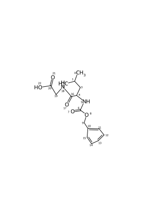 CC(C)CC(NC(=O)OCc1ccccc1)C(=O)NCC(=O)O